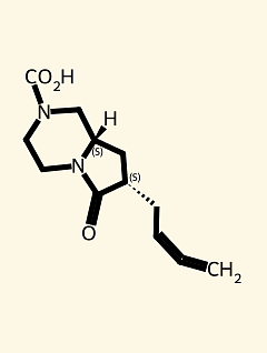 C=C=CC[C@H]1C[C@H]2CN(C(=O)O)CCN2C1=O